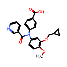 COc1ccc(N(C(=O)c2cccnc2)c2ccc(C(=O)O)cc2)cc1OCC1CC1